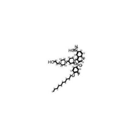 CCCCCCCCCCOc1ccc(S(=O)(=O)c2cnc3ccc([SiH](C)O)cc3c2N2CCC(N3CCN(CCO)CC3)CC2)cc1F